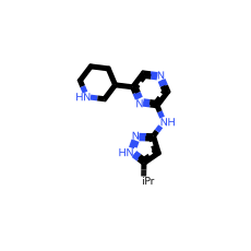 CC(C)c1cc(Nc2cncc(C3CCCNC3)n2)n[nH]1